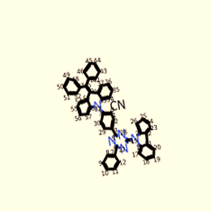 N#Cc1cc(-c2nc(-c3ccccc3)nc(-n3c4ccccc4c4ccccc43)n2)ccc1N1c2ccccc2C(=C(c2ccccc2)c2ccccc2)c2ccccc21